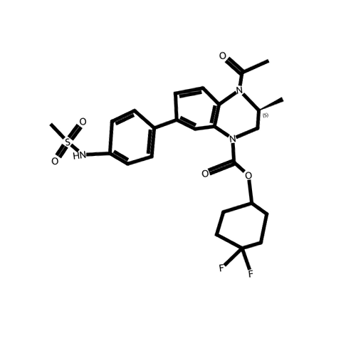 CC(=O)N1c2ccc(-c3ccc(NS(C)(=O)=O)cc3)cc2N(C(=O)OC2CCC(F)(F)CC2)C[C@@H]1C